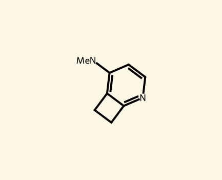 CNc1ccnc2c1CC2